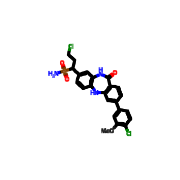 COc1cc(-c2ccc3c(c2)Nc2ccc(C(CCCl)S(N)(=O)=O)cc2NC3=O)ccc1Cl